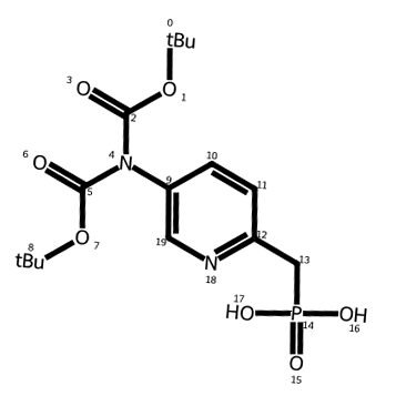 CC(C)(C)OC(=O)N(C(=O)OC(C)(C)C)c1ccc(CP(=O)(O)O)nc1